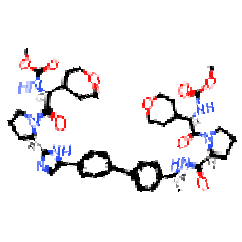 COC(=O)N[C@H](C(=O)N1CCC[C@H]1C(=O)N[C@H](C)c1ccc(-c2ccc(-c3cnc([C@@H]4CCCN4C(=O)[C@@H](NC(=O)OC)C4CCOCC4)[nH]3)cc2)cc1)C1CCOCC1